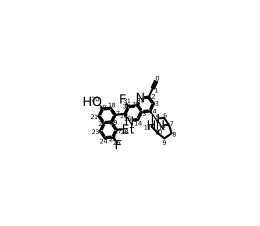 C#Cc1cc(N2CC3CCC(C2)N3)c2cnc(-c3cc(O)cc4ccc(F)c(CC)c34)c(F)c2n1